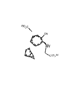 CC(=O)O.O=C(O)CNc1ccccc1O.c1cc2cc-2c1